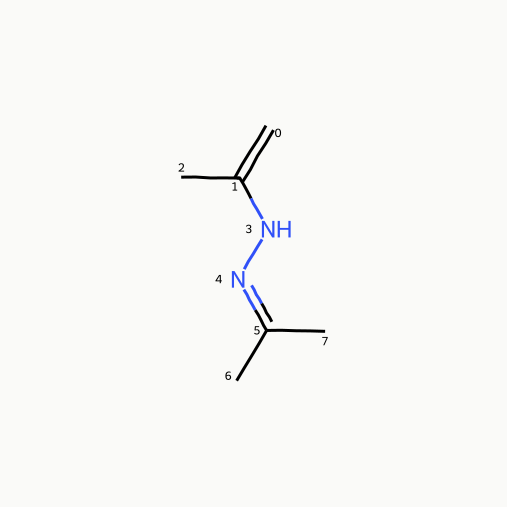 C=C(C)NN=C(C)C